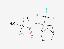 CC(C)(C)C(=O)OC1(C(F)(F)F)CC2CCC1C2